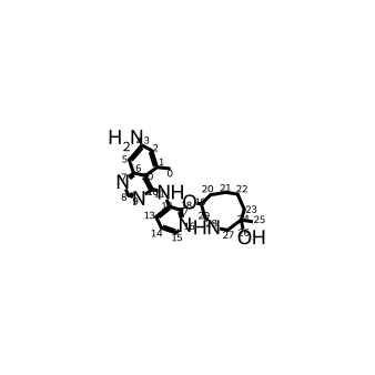 Cc1cc(N)cc2ncnc(Nc3cccnc3OC3CCCCC(C)(O)CNC3)c12